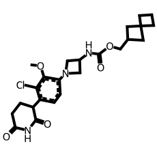 COc1c(N2CC(NC(=O)OCC3CC4(CCC4)C3)C2)ccc(C2CCC(=O)NC2=O)c1Cl